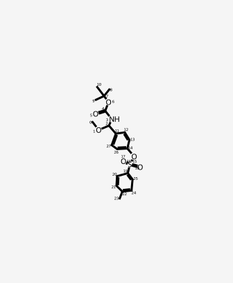 COC(NC(=O)OC(C)(C)C)c1ccc(OS(=O)(=O)c2ccc(C)cc2)cc1